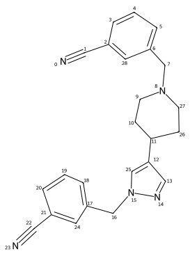 N#Cc1cccc(CN2CCC(c3cnn(Cc4cccc(C#N)c4)c3)CC2)c1